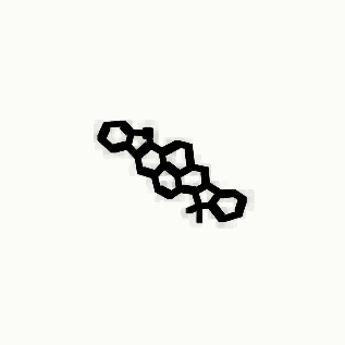 CC1(C)c2ccccc2-c2cc3ccc4c5oc6ccccc6c5cc5ccc(c21)c3c54